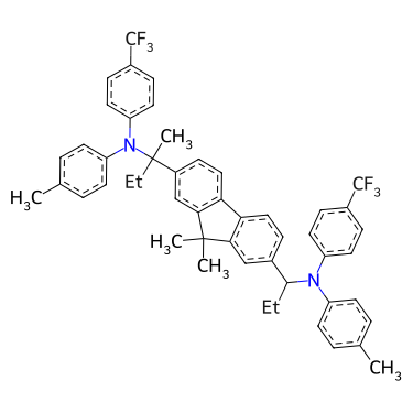 CCC(c1ccc2c(c1)C(C)(C)c1cc(C(C)(CC)N(c3ccc(C)cc3)c3ccc(C(F)(F)F)cc3)ccc1-2)N(c1ccc(C)cc1)c1ccc(C(F)(F)F)cc1